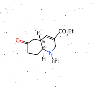 CCCN1CC(C(=O)OCC)=C[C@H]2CC(=O)CC[C@@H]21